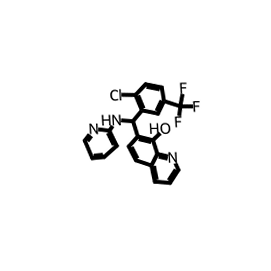 Oc1c(C(Nc2ccccn2)c2cc(C(F)(F)F)ccc2Cl)ccc2cccnc12